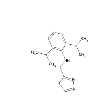 CC(C)c1cccc(C(C)C)c1NCc1nncs1